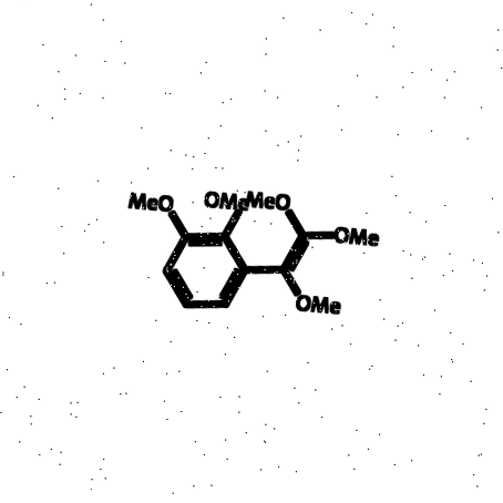 COC(OC)=C(OC)c1cccc(OC)c1OC